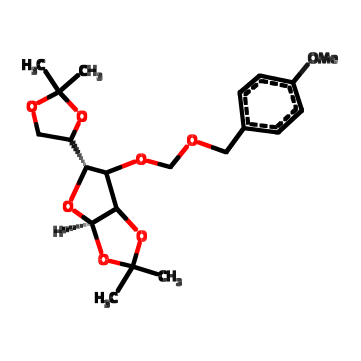 COc1ccc(COCOC2C3OC(C)(C)O[C@H]3O[C@@H]2C2COC(C)(C)O2)cc1